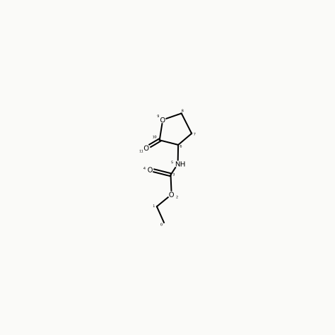 CCOC(=O)NC1CCOC1=O